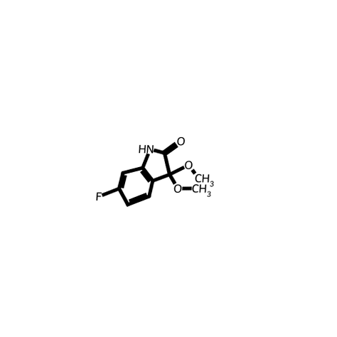 COC1(OC)C(=O)Nc2cc(F)ccc21